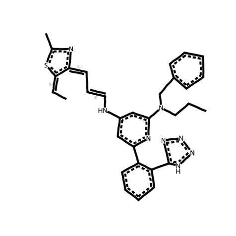 C/C=c1/sc(C)n/c1=C/C=C/Nc1cc(-c2ccccc2-c2nnn[nH]2)nc(N(CCC)Cc2ccccc2)c1